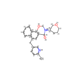 CCc1ccc(Cc2cc3c(c4ccccc24)OCN([C@@H]2CCCOC2)C3=O)cn1